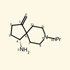 C=C1CC[C@@H](N)C12CCN(C(C)C)CC2